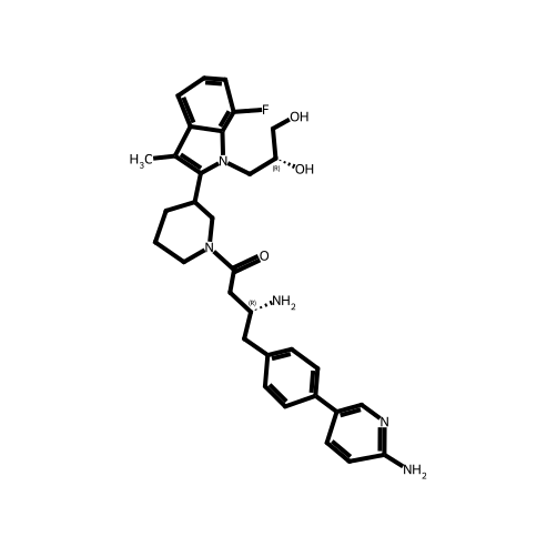 Cc1c(C2CCCN(C(=O)C[C@H](N)Cc3ccc(-c4ccc(N)nc4)cc3)C2)n(C[C@@H](O)CO)c2c(F)cccc12